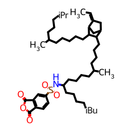 C/C=C1/CC2CC1C(CCCCCC(C)CCCC(C)C)C2CCCCC(C)CCCCC(CCCCC(C)CC)NS(=O)(=O)c1ccc2c(c1)C(=O)OC2=O